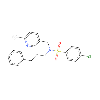 O=S(=O)(c1ccc(Cl)cc1)N(CCCc1ccccc1)Cc1ccc(C(F)(F)F)nc1